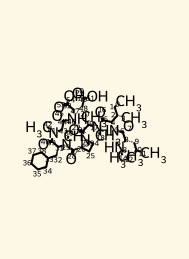 CC[C@H](C)[C@H](NC(=O)[C@H](CC(C)C)NC)C(=O)N(C)[C@@H](C)C(=O)N1CC[C@H]1C(=O)N(C)[C@@H](CC1CCCCC1)C(=O)N(C)CC(=O)N[C@@H](CC(=O)O)C(=O)O